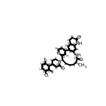 C[C@@H]1CCC[C@H](N2CCC(c3c(F)ccc(Cl)c3F)=CC2=O)c2cc(ccn2)-c2cc3c(cc2NC1=O)NC(=O)CC3